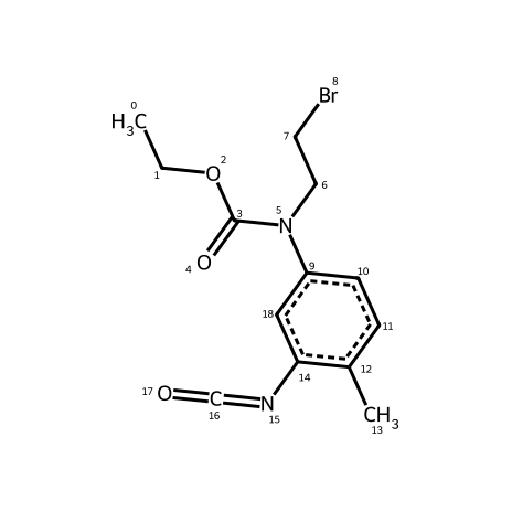 CCOC(=O)N(CCBr)c1ccc(C)c(N=C=O)c1